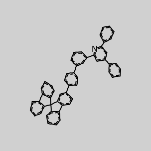 c1ccc(-c2cc(-c3ccccc3)nc(-c3cccc(-c4ccc(-c5ccc6c(c5)C5(c7ccccc7-c7ccccc75)c5ccccc5-6)cc4)c3)c2)cc1